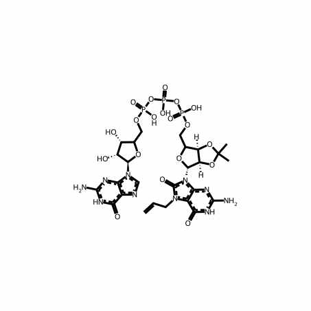 C=CCn1c(=O)n([C@@H]2OC(COP(=O)(O)OP(=O)(O)OP(=O)(O)OCC3O[C@@H](n4cnc5c(=O)[nH]c(N)nc54)[C@H](O)[C@@H]3O)[C@H]3OC(C)(C)O[C@H]32)c2nc(N)[nH]c(=O)c21